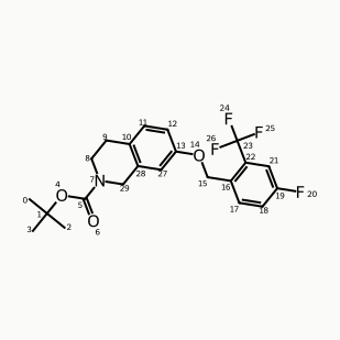 CC(C)(C)OC(=O)N1CCc2ccc(OCc3ccc(F)cc3C(F)(F)F)cc2C1